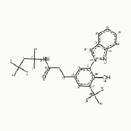 CC(C)(C)CC(C)(C)NC(=O)CCc1cc(-n2nc3ccccc3n2)c(O)c(C(C)(C)C)c1